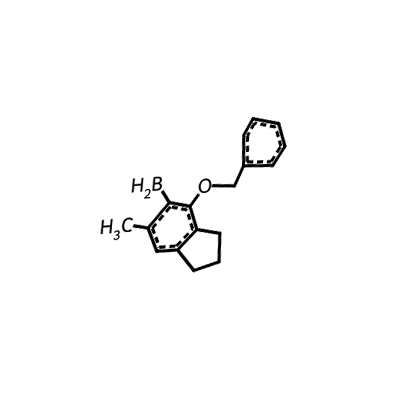 Bc1c(C)cc2c(c1OCc1ccccc1)CCC2